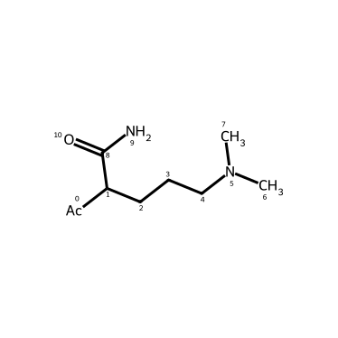 CC(=O)C(CCCN(C)C)C(N)=O